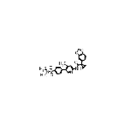 Cc1cc(NC(=O)C2(c3ccc4c(c3)OCO4)CC2)ncc1-c1ccc(S(=O)(=O)N(C)C)cc1